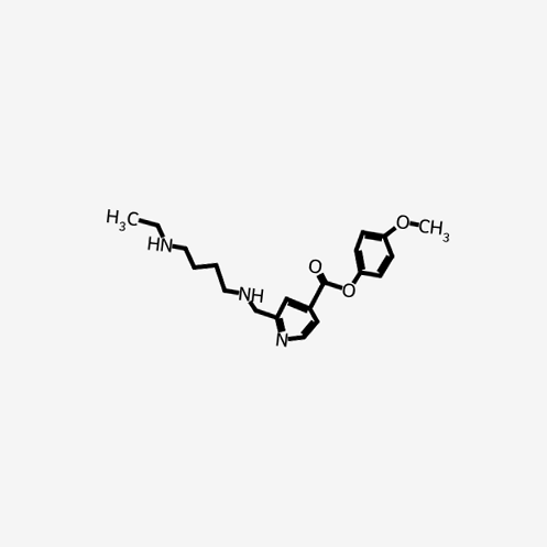 CCNCCCCNCc1cc(C(=O)Oc2ccc(OC)cc2)ccn1